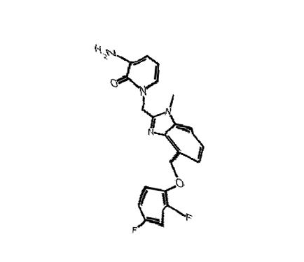 Cn1c(Cn2cccc(N)c2=O)nc2c(COc3ccc(F)cc3F)cccc21